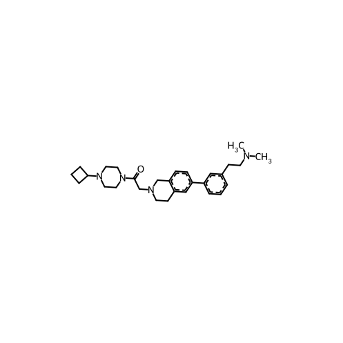 CN(C)CCc1cccc(-c2ccc3c(c2)CCN(CC(=O)N2CCN(C4CCC4)CC2)C3)c1